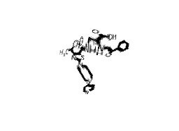 CC(C)c1nc(N2CCN(c3ccncc3)CC2)sc1C(=O)NC[C@H](NCC(=O)c1ccccc1)C(=O)O